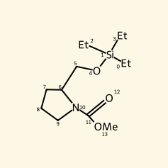 CC[Si](CC)(CC)OCC1CCCN1C(=O)OC